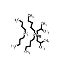 CC(C)[CH2][Mg][CH2]C(C)C.CCCC[CH2][Mg][CH2]CCCC.CCC[CH2][Mg][CH2]CCC